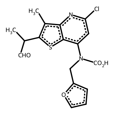 Cc1c(C(C)C=O)sc2c(N(Cc3ccco3)C(=O)O)cc(Cl)nc12